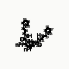 CCCC(CC(C)(CCC)CNC(=O)NCCCN1CCCC1)NC(=O)NCCCN1CCCC1